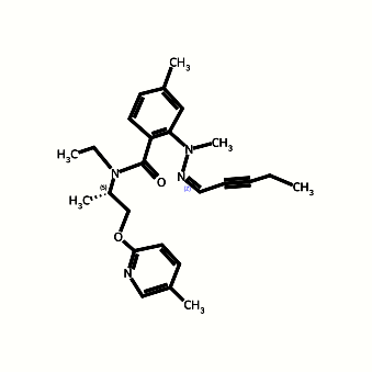 CCC#C/C=N\N(C)c1cc(C)ccc1C(=O)N(CC)[C@@H](C)COc1ccc(C)cn1